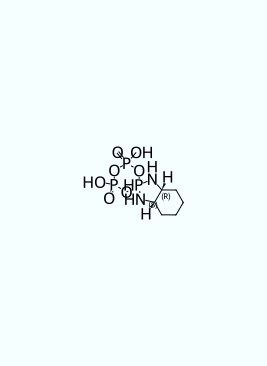 O=P1(O)OP(=O)(O)O[PH]2(N[C@H]3CCCC[C@H]3N2)O1